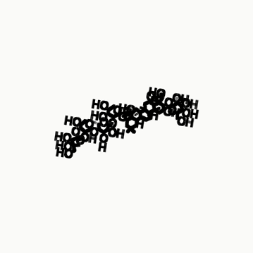 C[C@@H]1O[C@@H](O[C@H]2[C@H](OC(=O)[C@]34CCC(C)(C)C[C@H]3C3=CC[C@@H]5[C@@]6(C)C[C@H](O)[C@H](O[C@@H]7O[C@H](CO)[C@@H](O)[C@H](O)[C@H]7O)[C@@](C)(CO)[C@@H]6[C@H](O)C[C@@]5(C)[C@]3(C)C[C@H]4O)OC[C@H](O)[C@@H]2O)[C@H](O)[C@H](O)[C@H]1O[C@@H]1OC[C@@H](O)[C@H](O[C@@H]2OC[C@](O)(CO)[C@H]2O)[C@H]1O